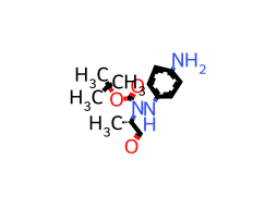 C[C@@H](C=O)N(Nc1ccc(N)cc1)C(=O)OC(C)(C)C